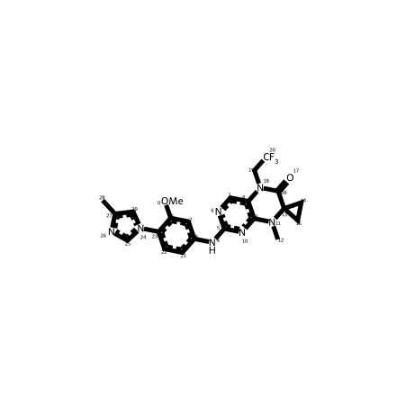 COc1cc(Nc2ncc3c(n2)N(C)C2(CC2)C(=O)N3CC(F)(F)F)ccc1-n1cnc(C)c1